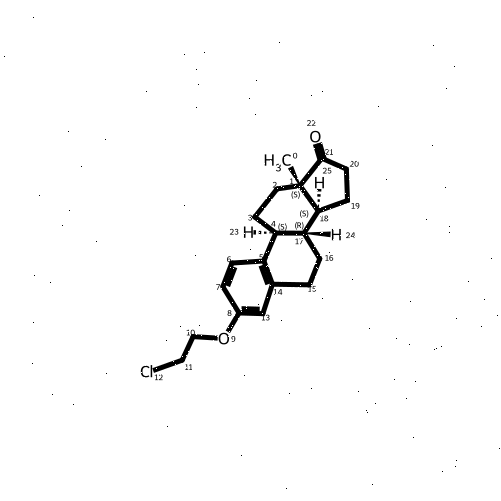 C[C@]12CC[C@@H]3c4ccc(OCCCl)cc4CC[C@H]3[C@@H]1CCC2=O